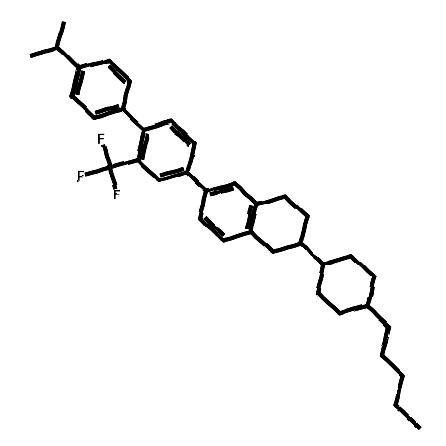 CCCCCC1CCC(C2CCc3cc(-c4ccc(-c5ccc(C(C)C)cc5)c(C(F)(F)F)c4)ccc3C2)CC1